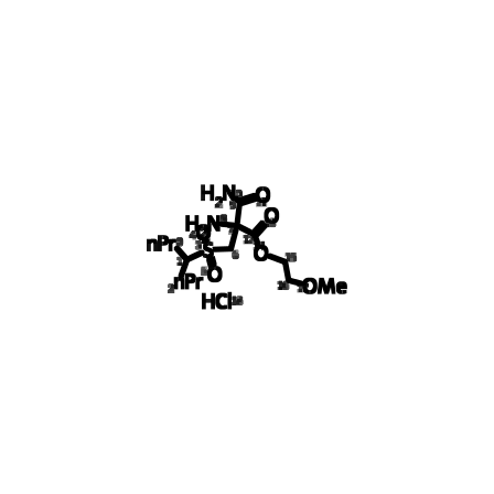 CCCC(CCC)S(=O)(=O)CC(N)(C(N)=O)C(=O)OCCOC.Cl